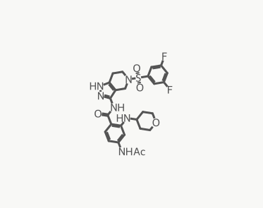 CC(=O)Nc1ccc(C(=O)Nc2n[nH]c3c2CN(S(=O)(=O)c2cc(F)cc(F)c2)CC3)c(NC2CCOCC2)c1